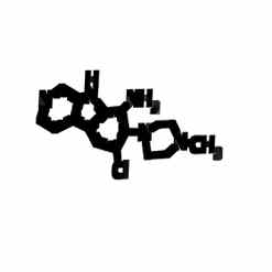 CN1CCN(c2c(Cl)cc3c([nH]c4cnccc43)c2N)CC1